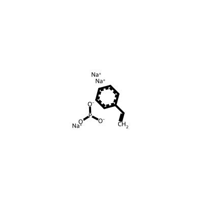 C=Cc1ccccc1.[Na+].[Na+].[Na+].[O-]P([O-])[O-]